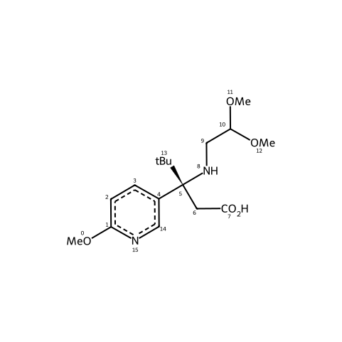 COc1ccc([C@@](CC(=O)O)(NCC(OC)OC)C(C)(C)C)cn1